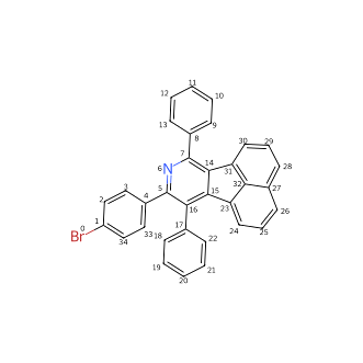 Brc1ccc(-c2nc(-c3ccccc3)c3c(c2-c2ccccc2)-c2cccc4cccc-3c24)cc1